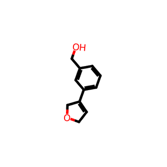 OCc1cccc(C2=CCOC2)c1